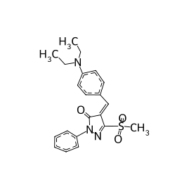 CCN(CC)c1ccc(/C=C2\C(=O)N(c3ccccc3)N=C2S(C)(=O)=O)cc1